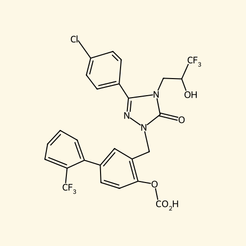 O=C(O)Oc1ccc(-c2ccccc2C(F)(F)F)cc1Cn1nc(-c2ccc(Cl)cc2)n(CC(O)C(F)(F)F)c1=O